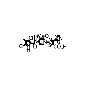 CO[C@H]1CN(c2nc(-c3ncnn3C)c(C(=O)O)s2)CC[C@H]1NC(=O)c1[nH]c(Cl)c(C)c1Cl